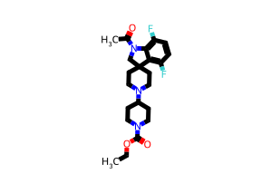 CCOC(=O)N1CCC(N2CCC3(CC2)CN(C(C)=O)c2c(F)ccc(F)c23)CC1